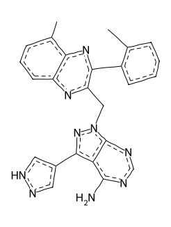 Cc1ccccc1-c1nc2c(C)cccc2nc1Cn1nc(-c2cn[nH]c2)c2c(N)ncnc21